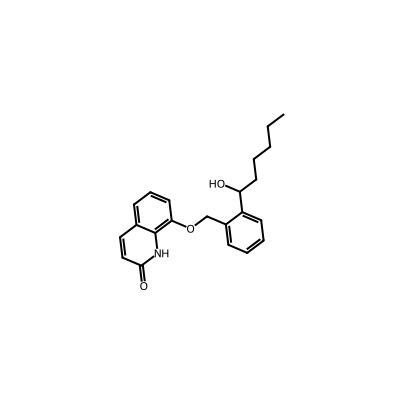 CCCCCC(O)c1ccccc1COc1cccc2ccc(=O)[nH]c12